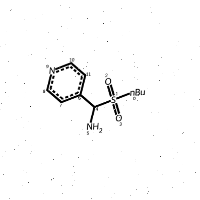 CCCCS(=O)(=O)C(N)c1ccncc1